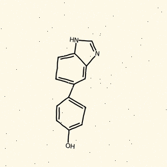 Oc1ccc(-c2ccc3[nH]cnc3c2)cc1